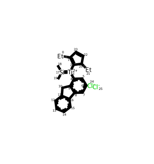 CCC1=[C]([Ti+2]([c]2cccc3c2Cc2ccccc2-3)=[Si](C)C)C(CC)C=C1.[Cl-].[Cl-]